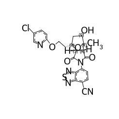 C[C@]12O[C@](CCOc3ccc(Cl)cn3)(C[C@@H]1O)[C@H]1C(=O)N(c3ccc(C#N)c4nsnc34)C(=O)[C@H]12